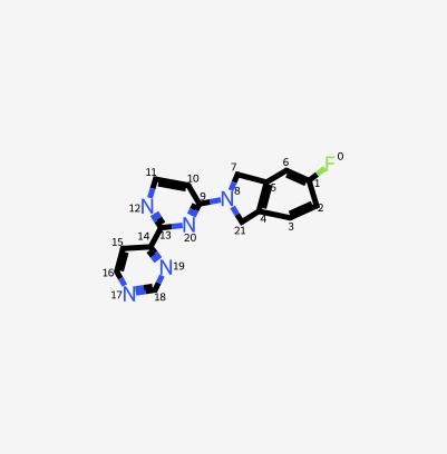 Fc1ccc2c(c1)CN(c1ccnc(-c3ccncn3)n1)C2